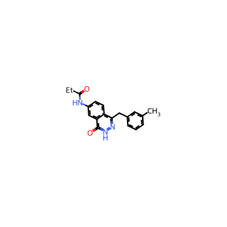 CCC(=O)Nc1ccc2c(Cc3cccc(C)c3)n[nH]c(=O)c2c1